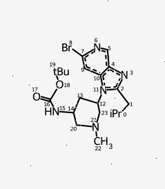 CC(C)Cc1nc2cnc(Br)cc2n1C1CC(NC(=O)OC(C)(C)C)CN(C)C1